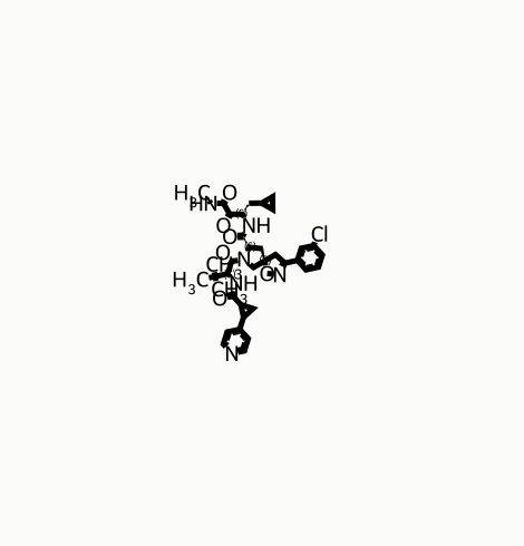 CNC(=O)C(=O)[C@H](CC1CC1)NC(=O)[C@@H]1C[C@]2(CC(c3cccc(Cl)c3)=NO2)CN1C(=O)[C@@H](NC(=O)C1CC1c1ccncc1)C(C)(C)C